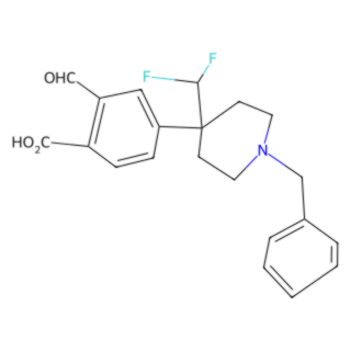 O=Cc1cc(C2(C(F)F)CCN(Cc3ccccc3)CC2)ccc1C(=O)O